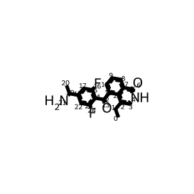 CCc1c[nH]c(=O)c2cccc(C(=O)c3c(F)cc(C(C)N)cc3F)c12